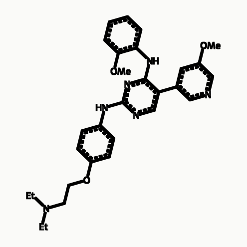 CCN(CC)CCOc1ccc(Nc2ncc(-c3cncc(OC)c3)c(Nc3ccccc3OC)n2)cc1